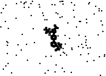 CC(=O)N1CC(NS(=O)(=O)C(C)C)C(c2ccc(-c3cccc(N(C(C)=O)S(C)(=O)=O)c3)cc2)C1